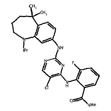 CNC(=O)c1cccc(F)c1Nc1nc(Nc2ccc3c(c2)N(C(C)C)CCCC3(C)C)ncc1Cl